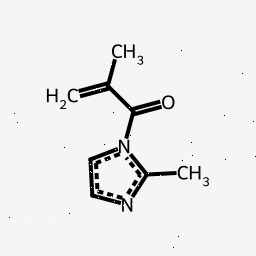 C=C(C)C(=O)n1ccnc1C